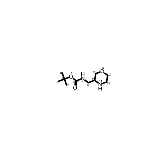 CC(C)(C)OC(=O)NCC1COCCN1